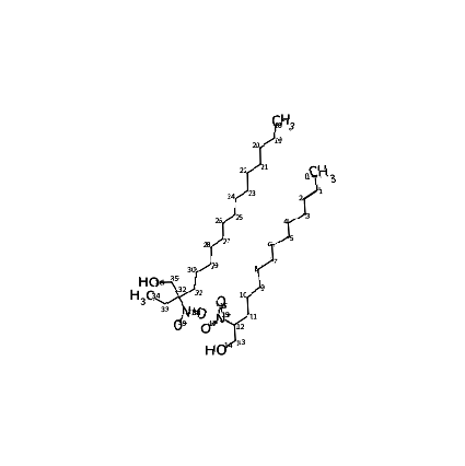 CCCCCCCCCCCCC(CO)[N+](=O)[O-].CCCCCCCCCCCCCCC(CC)(CO)[N+](=O)[O-]